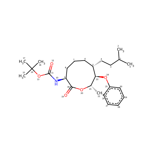 CC(C)CC[C@H]1CCC[C@H](NC(=O)OC(C)(C)C)C(=O)O[C@@H](C)[C@@H]1Oc1ccccc1